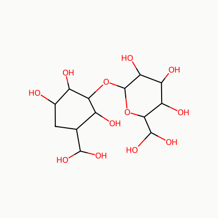 OC(O)C1CC(O)C(O)C(OC2OC(C(O)O)C(O)C(O)C2O)C1O